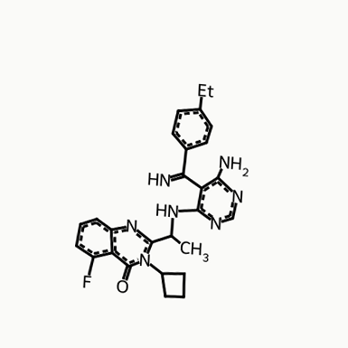 CCc1ccc(C(=N)c2c(N)ncnc2NC(C)c2nc3cccc(F)c3c(=O)n2C2CCC2)cc1